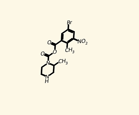 Cc1c(C(=O)OC(=O)N2CCNCC2C)cc(Br)cc1[N+](=O)[O-]